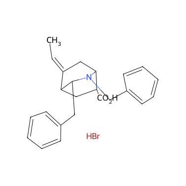 Br.CC=C1CC2C(C(=O)O)CC1C(Cc1ccccc1)N2Cc1ccccc1